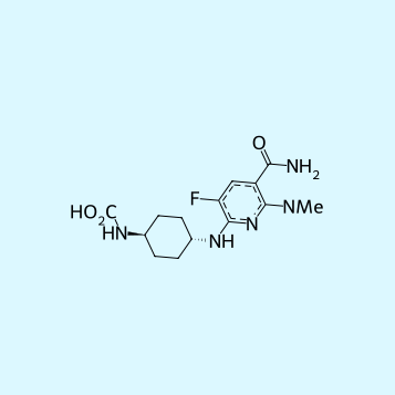 CNc1nc(N[C@H]2CC[C@H](NC(=O)O)CC2)c(F)cc1C(N)=O